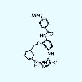 COc1ccc(C(=O)Nc2ccc3cc2CCC2C=CC=C(C2)Nc2ncc(Cl)c(n2)N3)cc1